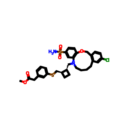 COC(=O)Cc1cccc(SC[C@@H]2CC[C@H]2CN2CCCCc3cc(Cl)ccc3COc3ccc(S(N)(=O)=O)cc32)c1